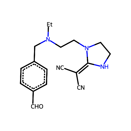 CCN(CCN1CCNC1=C(C#N)C#N)Cc1ccc(C=O)cc1